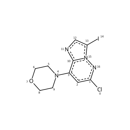 Clc1cc(N2CCOCC2)c2ncc(I)n2n1